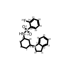 O=S(=O)(NC1CCCC(N2CCc3ccccc32)C1)c1ccccc1F